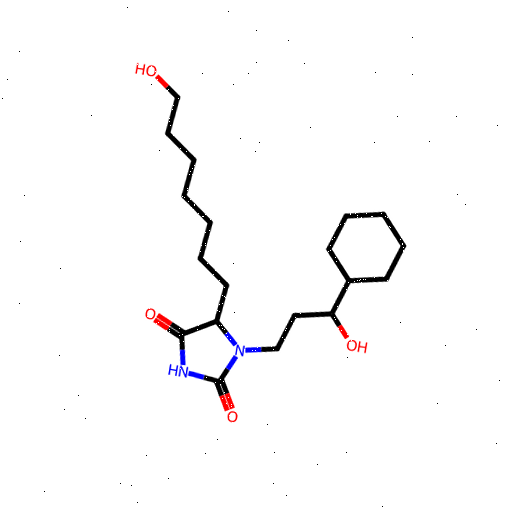 O=C1NC(=O)N(CCC(O)C2CCCCC2)C1CCCCCCCO